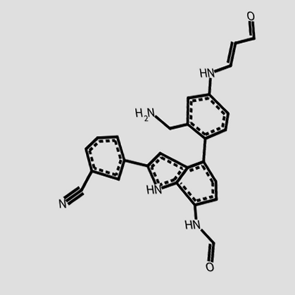 N#Cc1cccc(-c2cc3c(-c4ccc(NC=CC=O)cc4CN)ccc(NC=O)c3[nH]2)c1